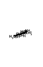 CCC(O)CCC(O)CCC(O)CCC(O)CCNC(=O)OC(C)(C)CN